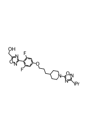 CC(C)c1noc(N2CCC(CCCOc3cc(F)c(-c4noc(CO)n4)c(F)c3)CC2)n1